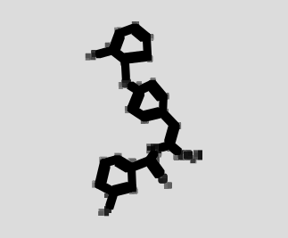 O=C(O)C(=Cc1ccc(Oc2ccccc2F)cc1)NC(=O)c1cccc(F)c1